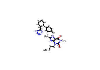 CCCn1c(=O)c2c(nc(C(C)C)n2Cc2ccc(-c3ccccc3-c3nnn[nH]3)cc2)n(CCOC)c1=O